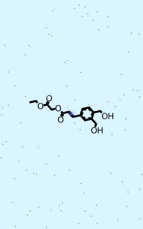 CCOC(=O)COC(=O)/C=C/c1ccc(CO)c(CO)c1